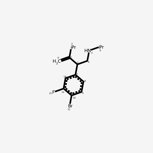 C=C(C(C)C)C(CNC(C)C)c1ccc(Br)c(F)c1